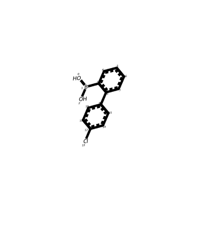 OB(O)c1ccccc1-c1ccc(Cl)cc1